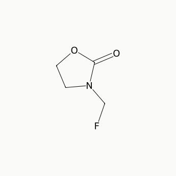 O=C1OCCN1CF